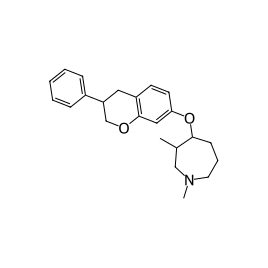 CC1CN(C)CCCC1Oc1ccc2c(c1)OCC(c1ccccc1)C2